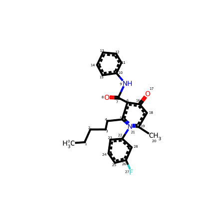 CCCCCc1c(C(=O)Nc2ccccc2)c(=O)cc(C)n1-c1cccc(F)c1